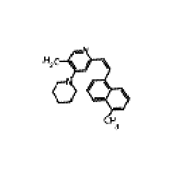 Cc1cnc(/C=C\c2cccc3c(C)cccc23)cc1N1CCCCC1